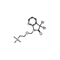 C[Si](C)(C)CCOCN1C(=O)C(Br)(Br)c2cccnc21